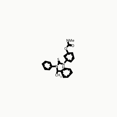 CNC(=O)Oc1cccc(NC(=S)N(c2ccccc2)C(C)c2ccccc2)c1